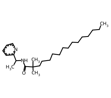 CCCCCCCCCCCCCCC(C)(C)C(=O)NC(C)c1ccccn1